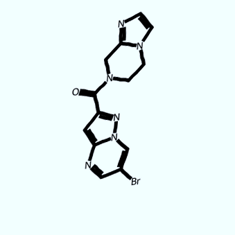 O=C(c1cc2ncc(Br)cn2n1)N1CCn2ccnc2C1